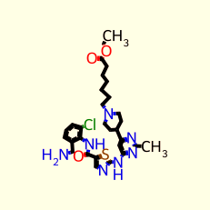 CCOC(=O)CCCCCCN1CCC(c2cc(Nc3ncc(C(=O)Nc4c(Cl)cccc4CN)s3)nc(C)n2)CC1